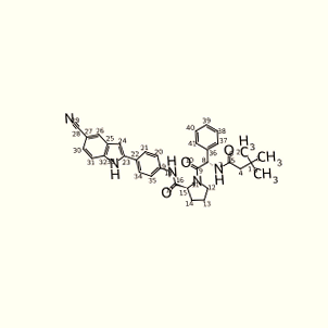 CC(C)(C)CC(=O)N[C@H](C(=O)N1CCC[C@H]1C(=O)Nc1ccc(-c2cc3cc(C#N)ccc3[nH]2)cc1)c1ccccc1